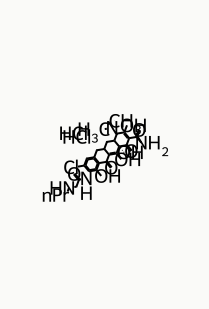 CCCNCC(=O)Nc1c(Cl)cc2c(c1O)C(=O)C1=C(O)[C@]3(O)C(=O)C(C(N)=O)=C(O)[C@@H](N(C)C)C3CC1C2.Cl.Cl